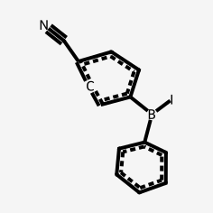 N#Cc1ccc(B(I)c2ccccc2)cc1